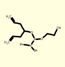 C=CCC(CC=C)OP(OCCC#N)N(C(C)C)C(C)C